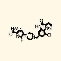 CNC(=O)c1ccc(N2CCN(Cc3cc(Cl)c4c(c3)[nH]c(=O)c3ccnn34)CC2)c(F)n1